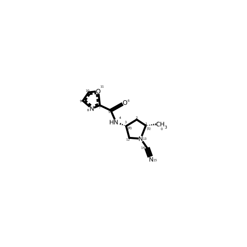 C[C@H]1C[C@@H](NC(=O)c2ncco2)CN1C#N